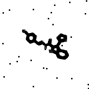 O=C(NN=Cc1ccc(Cl)cc1)c1[nH]c2ccccc2c1-c1cccs1